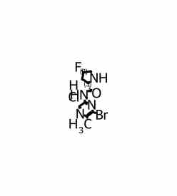 Cc1ncc(NC(=O)[C@@H]2C[C@@H](F)CN2)nc1Br.Cl